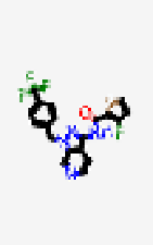 O=C(Nc1nn(Cc2ccc(C(F)(F)F)cc2)c2cnccc12)c1sccc1F